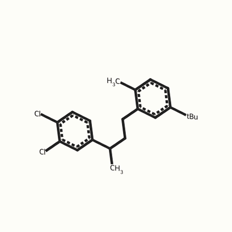 Cc1ccc(C(C)(C)C)cc1CCC(C)c1ccc(Cl)c(Cl)c1